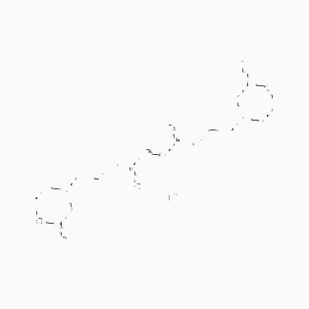 Cl.O=C(/C=C/C(=O)OCCN1CCOC(=O)C1)OCCN1CCOC(=O)C1